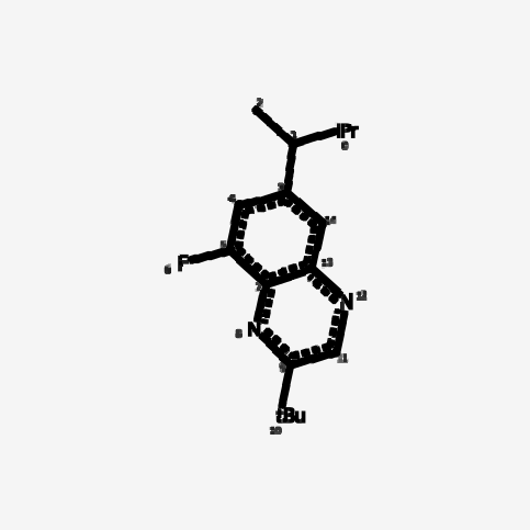 CC(C)C(C)c1cc(F)c2nc(C(C)(C)C)cnc2c1